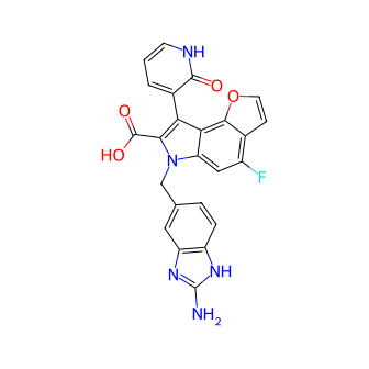 Nc1nc2cc(Cn3c(C(=O)O)c(-c4ccc[nH]c4=O)c4c5occc5c(F)cc43)ccc2[nH]1